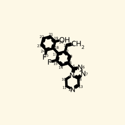 C=Cc1cc(-c2nnc3n2CCN=C3)cc(F)c1-c1c(O)cccc1F